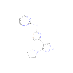 c1cnc(Nc2nc(-c3c[nH]nc3N3CCCC3)cs2)nc1